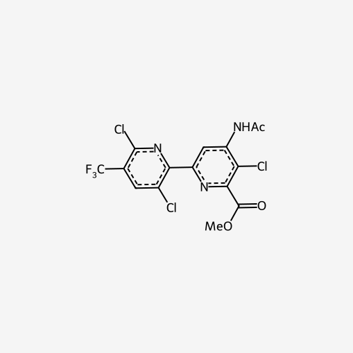 COC(=O)c1nc(-c2nc(Cl)c(C(F)(F)F)cc2Cl)cc(NC(C)=O)c1Cl